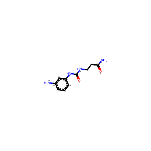 NC(=O)CCNC(=O)Nc1cccc(N)c1